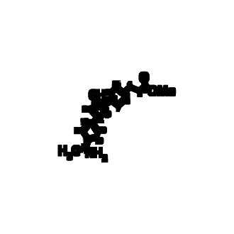 COC(=O)CCc1ccc(-c2nc(-c3ccc(C(C)N)cc3)cn2C)cc1